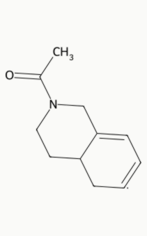 CC(=O)N1CCC2C[C]=CC=C2C1